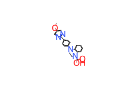 COc1cnc(-c2ccc(N3CCN(C(=O)O)c4ccccc43)cc2)nc1